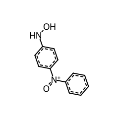 O=[N+](c1ccccc1)c1ccc(NO)cc1